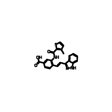 Cc1ccsc1C(=O)Nc1cc(C(=O)O)ccc1C=Cc1n[nH]c2ccccc12